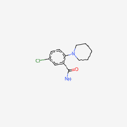 [NH]C(=O)c1cc(Cl)ccc1N1CCCCC1